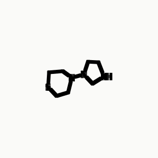 C1CN(N2CCSCC2)CN1